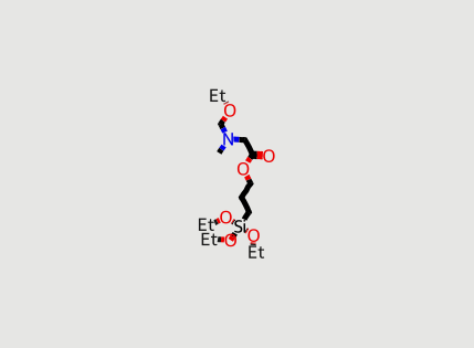 CCOCN(C)CC(=O)OCCC[Si](OCC)(OCC)OCC